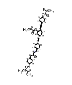 C=C(F)C(=C)OCc1ccc(CC(=O)/C=C/c2ccc(C#Cc3ccc(C#Cc4ccc(OC(=O)C(=C)F)cc4)c(OC(=O)C(=C)F)c3)cc2)cc1